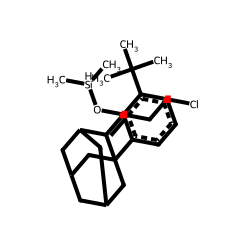 C[SiH](C)Oc1c(C(C)(C)C)cccc1C12CC3CC(CC(C3)C1=CCCCl)C2